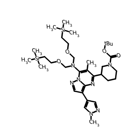 Cc1c(C2CCCN(C(=O)OC(C)(C)C)C2)nc2c(-c3cnn(C)c3)cnn2c1N(COCC[Si](C)(C)C)COCC[Si](C)(C)C